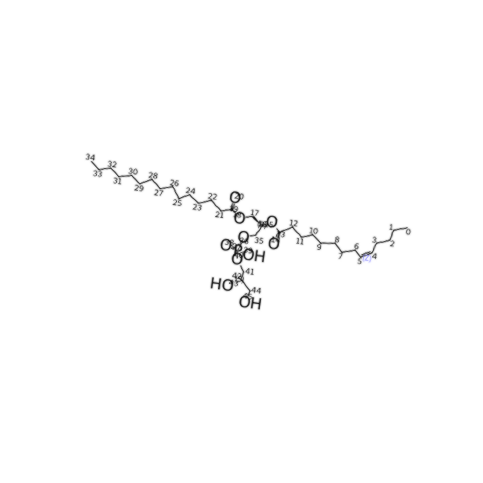 CCCC/C=C\CCCCCCCC(=O)O[C@H](COC(=O)CCCCCCCCCCCCCC)COP(=O)(O)OC[C@@H](O)CO